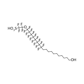 O=S(=O)(O)C(F)(F)C(F)(F)OC(F)(F)C(F)(F)C(F)(F)C(F)(F)C(F)(F)C(F)(F)C(F)(F)C(F)(F)CCCCCCCCCCCO